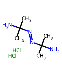 CC(C)(N)N=NC(C)(C)N.Cl.Cl